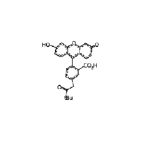 CC(C)(C)C(=O)Cc1ccc(-c2c3ccc(=O)cc-3oc3cc(O)ccc23)c(C(=O)O)c1